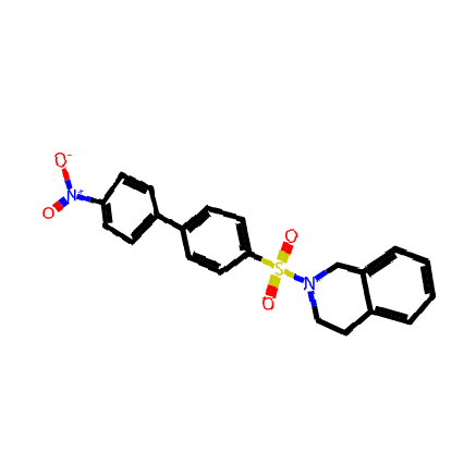 O=[N+]([O-])c1ccc(-c2ccc(S(=O)(=O)N3CCc4ccccc4C3)cc2)cc1